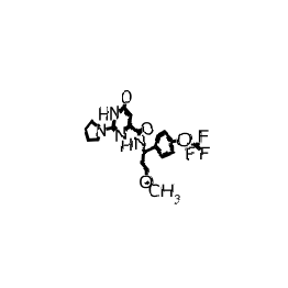 COCCC(NC(=O)c1cc(=O)[nH]c(N2CCCC2)n1)c1ccc(OC(F)(F)F)cc1